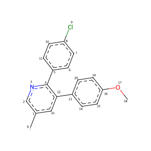 [CH2]c1cnc(-c2ccc(Cl)cc2)c(-c2ccc(OC)cc2)c1